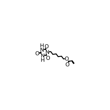 C=CC(=O)OCCCCCCn1c(=O)[nH]c(=O)[nH]c1=O